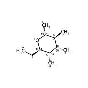 CC[C@H]1O[C@H](C)[C@@H](C)[C@H](C)[C@@H]1C